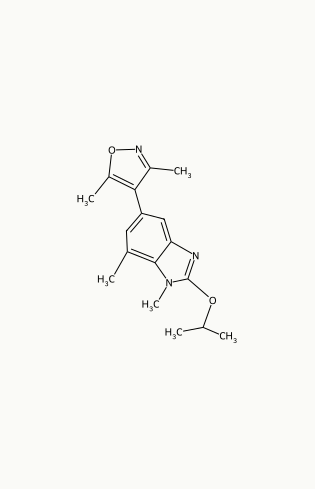 Cc1noc(C)c1-c1cc(C)c2c(c1)nc(OC(C)C)n2C